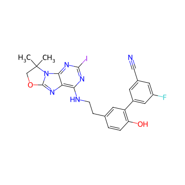 CC1(C)COc2nc3c(NCCc4ccc(O)c(-c5cc(F)cc(C#N)c5)c4)nc(I)nc3n21